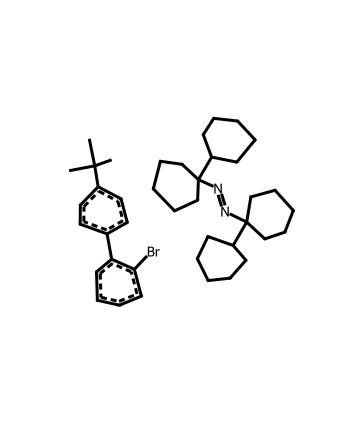 C1CCC(C2(N=NC3(C4CCCCC4)CCCCC3)CCCCC2)CC1.CC(C)(C)c1ccc(-c2ccccc2Br)cc1